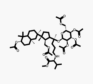 COC(=O)[C@@H](NCCC[C@](C)(O[C@H]1O[C@H](COC(C)=O)[C@@H](OC(C)=O)[C@H](OC(C)=O)[C@H]1OC(C)=O)C1CC[C@@](C)([C@]2(C)CCC3C(C)(C)[C@@H](OC(C)=O)CC[C@]3(C)C2)[C@@H]1COC(C)=O)C(C)C